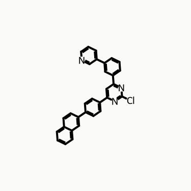 Clc1nc(-c2ccc(-c3ccc4ccccc4c3)cc2)cc(-c2cccc(-c3cccnc3)c2)n1